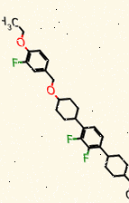 C=CC1CCC(c2ccc(C3CCC(OCc4ccc(OCC)c(F)c4)CC3)c(F)c2F)CC1